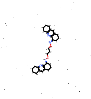 c1c2c(nc3c1CCC/C3=N\OCCCO/N=C1\CCCc3cc4c(nc31)CCCC4)CCCC2